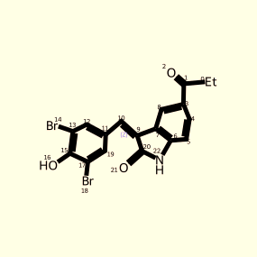 CCC(=O)c1ccc2c(c1)/C(=C/c1cc(Br)c(O)c(Br)c1)C(=O)N2